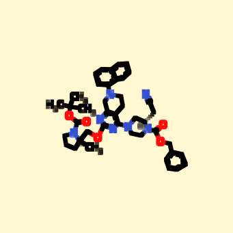 CC(C)(C)OC(=O)N1CCC[C@@]1(C)COc1nc2c(c(N3CCN(C(=O)OCc4ccccc4)[C@@H](CC#N)C3)n1)CCN(c1cccc3ccccc13)C2